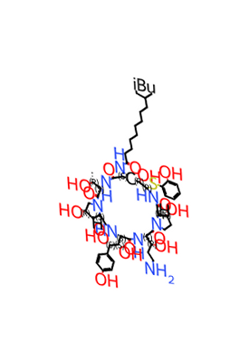 CCC(C)CC(C)CCCCCCCCC(=O)N[C@H]1C[C@@H](O)[C@@H](Sc2ccccc2O)NC(=O)[C@@H]2[C@@H](O)CCN2C(=O)[C@H]([C@H](O)CCN)NC(=O)[C@H]([C@H](O)[C@@H](O)c2ccc(O)cc2)NC(=O)[C@@H]2C[C@@H](O)CN2C(=O)[C@H]([C@@H](C)O)NC1=O